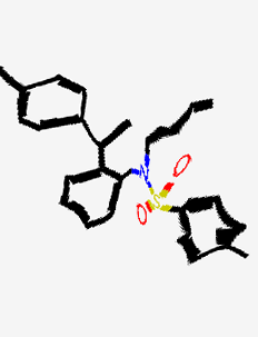 C=CCCN(c1ccccc1C(=C)c1ccc(C)cc1)S(=O)(=O)c1ccc(C)cc1